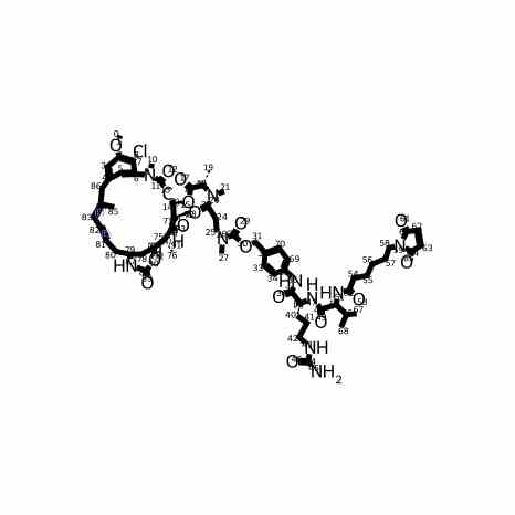 COc1cc2cc(c1Cl)N(C)C(=O)C[C@@H](OC(=O)[C@H](C)N(C)C(=O)CCN(C)C(=O)OCc1ccc(NC(=O)[C@@H](CCCNC(N)=O)NC(=O)C(NC(=O)CCCCCN3C(=O)C=CC3=O)C(C)C)cc1)[C@]1(C)O[C@H]1[C@H](C)[C@@H]1CC(C/C=C/C=C(\C)C2)NC(=O)O1